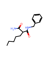 CCCCCC(C(N)=O)C(=O)NCc1ccccc1